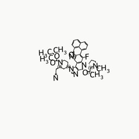 C[C@H](Oc1nc2c(F)c(-c3cccc4cccc(C#N)c34)c(Cl)cc2c2c1ncn2[C@H]1CCN(C(=O)OC(C)(C)C)[C@H](CC#N)C1)[C@@H]1CCCN1C